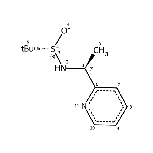 C[C@H](N[S@@+]([O-])C(C)(C)C)c1ccccn1